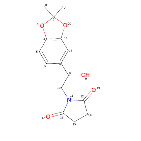 CC1(C)Oc2ccc(C(O)CN3C(=O)CCC3=O)cc2O1